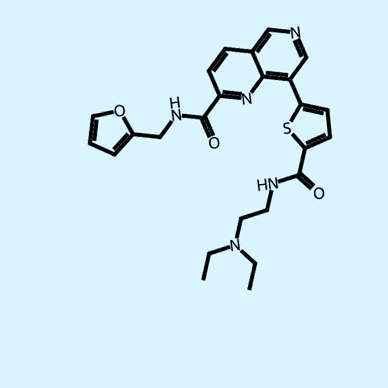 CCN(CC)CCNC(=O)c1ccc(-c2cncc3ccc(C(=O)NCc4ccco4)nc23)s1